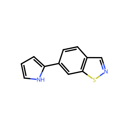 c1c[nH]c(-c2ccc3cnsc3c2)c1